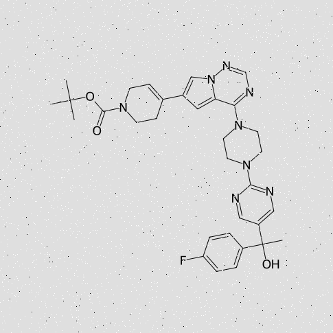 CC(C)(C)OC(=O)N1CC=C(c2cc3c(N4CCN(c5ncc(C(C)(O)c6ccc(F)cc6)cn5)CC4)ncnn3c2)CC1